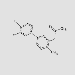 Cc1ccc(-c2ccc(F)c(F)c2)cc1CC(=O)O